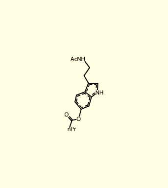 CCCC(=O)Oc1ccc2c(CCNC(C)=O)c[nH]c2c1